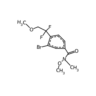 COCC(F)(F)c1ccc(C(=O)N(C)OC)cc1Br